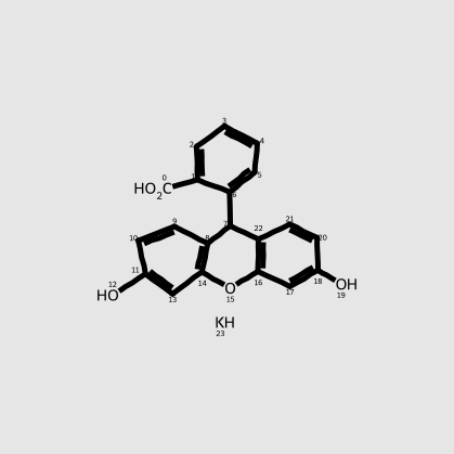 O=C(O)c1ccccc1C1c2ccc(O)cc2Oc2cc(O)ccc21.[KH]